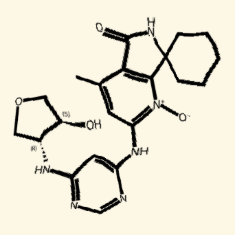 Cc1cc(Nc2cc(N[C@@H]3COC[C@H]3O)ncn2)[n+]([O-])c2c1C(=O)NC21CCCCC1